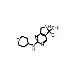 [CH]C1(C)NCc2nc(NC3CCOCC3)ncc21